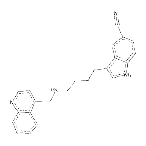 N#Cc1ccc2[nH]cc(CCCCNCc3ccnc4ccccc34)c2c1